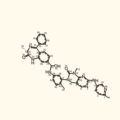 Cc1ccc(Nc2ncc3c(n2)N(C)C(=O)N(c2cc(NC(O)c4ccc5c(c4)NC(=O)[C@H](C)N=C5c4ccccc4)ccc2C)C3)cn1